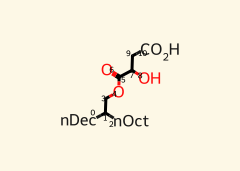 CCCCCCCCCCC(CCCCCCCC)COC(=O)C(O)CC(=O)O